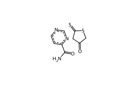 NC(=O)c1ccncn1.O=C1CSC(=S)C1